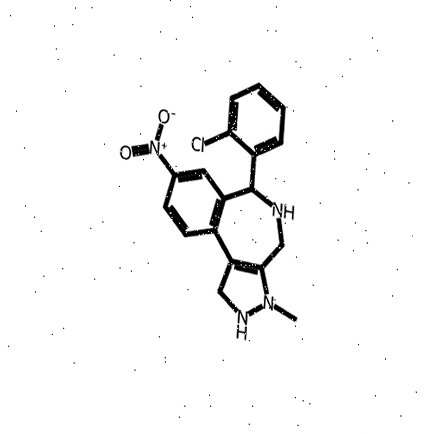 CN1NCC2=C1CNC(c1ccccc1Cl)c1cc([N+](=O)[O-])ccc12